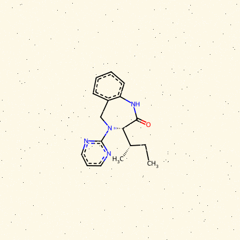 CC[C@H](C)[C@H]1C(=O)Nc2ccccc2CN1c1ncccn1